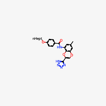 CCCCCCCOc1ccc(C(=O)Nc2cc(C)cc3c2OC(c2nnn[nH]2)=CO3)cc1